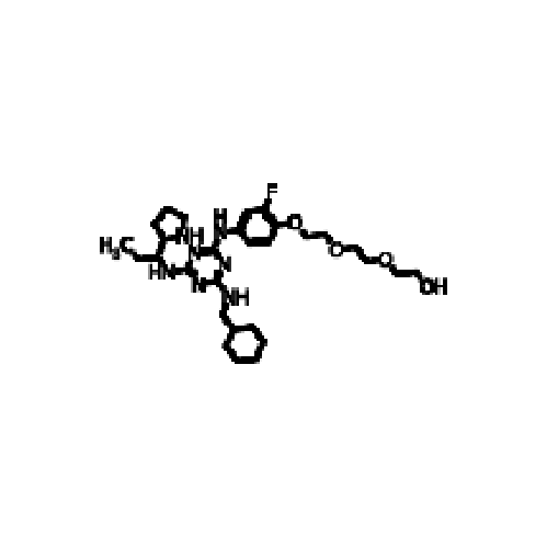 CCC(Nc1nc(NCC2CCCCC2)nc(Nc2ccc(OCCOCCOCCO)c(F)c2)n1)C1CCCN1